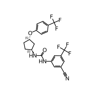 N#Cc1cc(NC(=O)N[C@H]2CC[C@H](Oc3ccc(C(F)(F)F)cc3)C2)cc(C(F)(F)F)c1